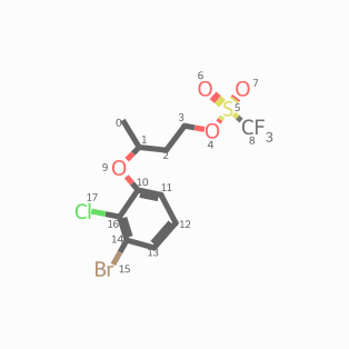 CC(CCOS(=O)(=O)C(F)(F)F)Oc1cccc(Br)c1Cl